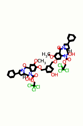 COc1cc2c(cc1OCc1cc(O)cc(COc3cc4c(cc3OC)C(=O)N3C=C(c5ccccc5)C[C@H]3C(O)N4C(=O)OCC(Cl)(Cl)Cl)c1)N(C(=O)OCC(Cl)(Cl)Cl)C(O)[C@H]1CC(c3ccccc3)=CN1C2=O